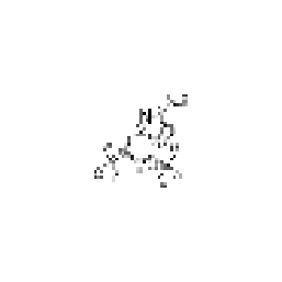 C=Cc1nc2cc(C(C)(C)C)cc(C(C)(C)C)c2o1